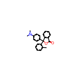 Cc1ccccc1C1(c2ccc(N(C)C)cc2)OC(=O)c2ccccc21